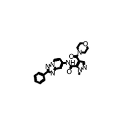 Cn1ncc(C(=O)N2CCOCC2)c1C(=O)Nc1ccn2nc(-c3ccccc3)nc2c1